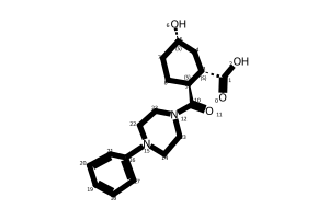 O=C(O)[C@H]1C[C@@H](O)CC[C@@H]1C(=O)N1CCN(c2ccccc2)CC1